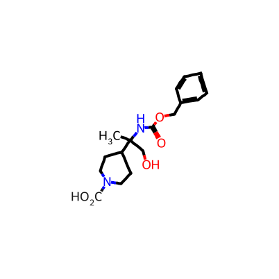 CC(CO)(NC(=O)OCc1ccccc1)C1CCN(C(=O)O)CC1